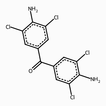 Nc1c(Cl)cc(C(=O)c2cc(Cl)c(N)c(Cl)c2)cc1Cl